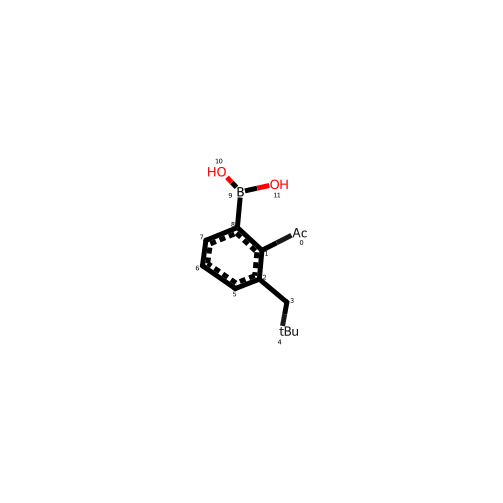 CC(=O)c1c(CC(C)(C)C)cccc1B(O)O